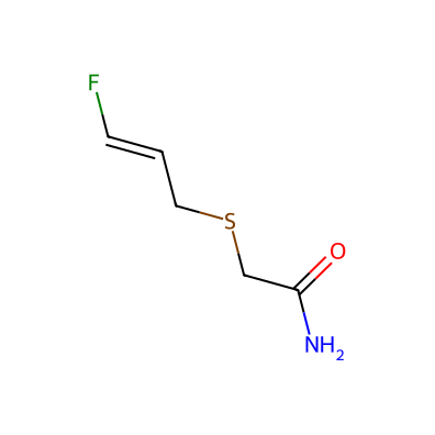 NC(=O)CSCC=CF